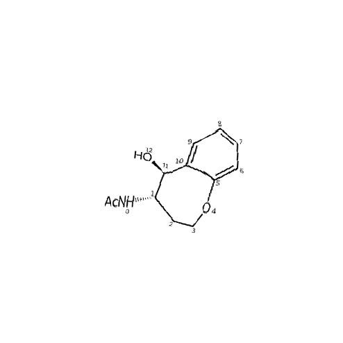 CC(=O)N[C@H]1CCOc2ccccc2[C@@H]1O